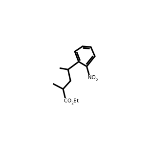 CCOC(=O)C(C)CC(C)c1ccccc1[N+](=O)[O-]